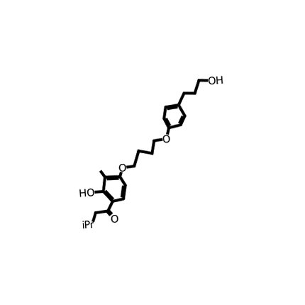 Cc1c(OCCCCOc2ccc(CCCO)cc2)ccc(C(=O)CC(C)C)c1O